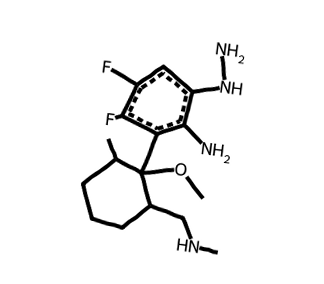 CNCC1CCCC(C)C1(OC)c1c(N)c(NN)cc(F)c1F